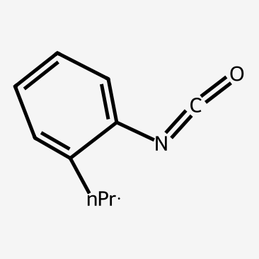 CC[CH]c1ccccc1N=C=O